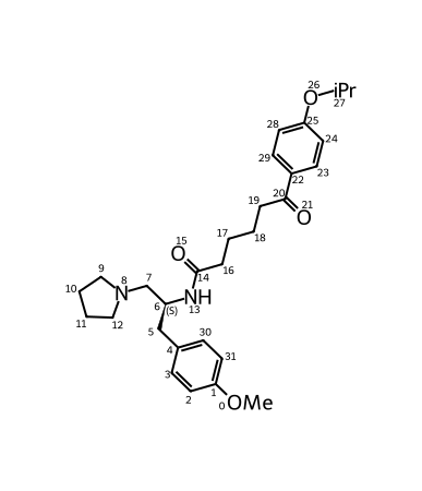 COc1ccc(C[C@@H](CN2CCCC2)NC(=O)CCCCC(=O)c2ccc(OC(C)C)cc2)cc1